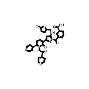 O=C(O)c1cccc(C(=O)n2nc(-c3ccc(-c4ccncc4)n(CC(=O)c4ccncc4)c3=O)cc2NCc2ccc(Cl)s2)c1